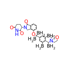 Bc1cc(C(B)(B)Oc2cccc3c2CN(C2CCC(=O)NC2=O)C3=O)cc(B)c1C(B)N1CCOCC1